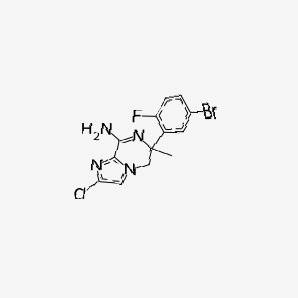 CC1(c2cc(Br)ccc2F)Cn2cc(Cl)nc2C(N)=N1